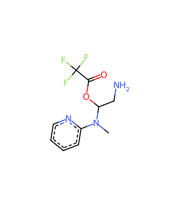 CN(c1ccccn1)C(CN)OC(=O)C(F)(F)F